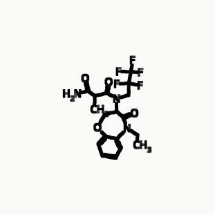 CCN1C(=O)C(N(CC(F)(F)C(F)(F)F)C(=O)C(C)C(N)=O)COc2ccccc21